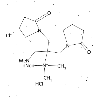 CCCCCCCCC[N+](C)(C)C(CNC)(CN1CCCC1=O)CN1CCCC1=O.Cl.[Cl-]